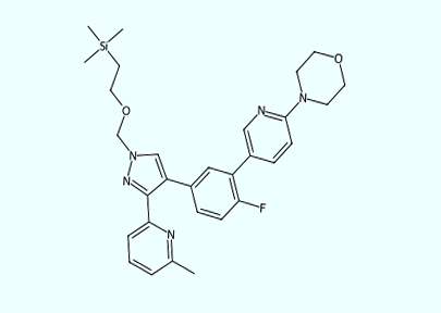 Cc1cccc(-c2nn(COCC[Si](C)(C)C)cc2-c2ccc(F)c(-c3ccc(N4CCOCC4)nc3)c2)n1